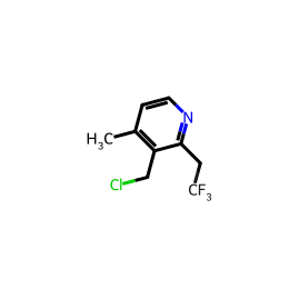 Cc1ccnc(CC(F)(F)F)c1CCl